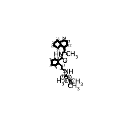 C[C@@H](NC(=O)c1ccccc1CCNC(=O)OC(C)(C)C)c1cccc2ccccc12